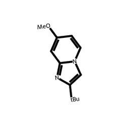 COc1ccn2cc(C(C)(C)C)nc2c1